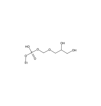 CCOP(=O)(O)OCOCC(O)CO